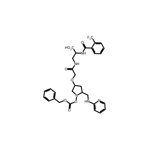 O=C(COC1CC(CNc2ccccn2)N(OC(=O)OCc2ccccc2)C1)NCC(NC(=O)c1ccccc1C(F)(F)F)C(=O)O